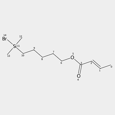 CC=CC(=O)OCCCCC[Si](C)(C)Br